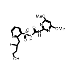 COc1cc(OC)nc(NC(=O)NS(=O)(=O)c2cccnc2CC(F)CCO)n1